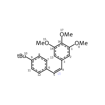 COc1cc(/C=C\c2ccc(C(C)(C)C)cc2)cc(OC)c1OC